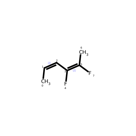 C/C=C\C(F)=C(/C)F